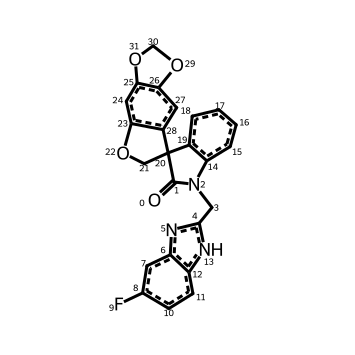 O=C1N(Cc2nc3cc(F)ccc3[nH]2)c2ccccc2C12COc1cc3c(cc12)OCO3